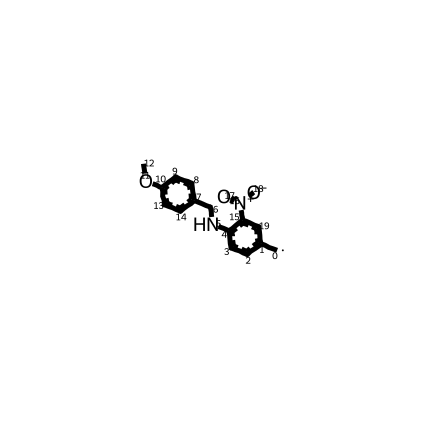 [CH2]c1ccc(NCc2ccc(OC)cc2)c([N+](=O)[O-])c1